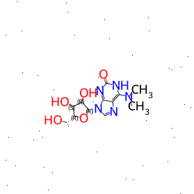 CN(C)c1[nH]c(=O)nc2c1ncn2[C@@H]1O[C@H](CO)[C@@H](O)[C@H]1O